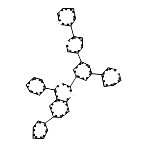 c1ccc(-c2ccc3nc(-c4cc(-c5cccnc5)cc(-c5ccc(-c6ccccn6)nc5)c4)nc(-c4ccccc4)c3c2)cc1